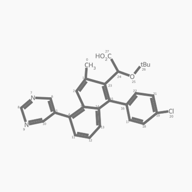 Cc1cc2c(-c3cncnc3)cccc2c(-c2ccc(Cl)cc2)c1C(OC(C)(C)C)C(=O)O